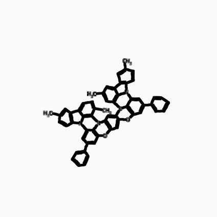 Cc1ccc2c(c1)c1cc(C)cc3c1n2-c1cc(-c2ccccc2)cc2c1B3c1cc3c(cc1O2)Oc1cc(-c2ccccc2)cc2c1B3c1c(C)ccc3c4cc(C)ccc4n-2c13